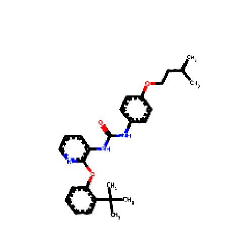 CC(C)CCOc1ccc(NC(=O)Nc2cccnc2Oc2ccccc2C(C)(C)C)cc1